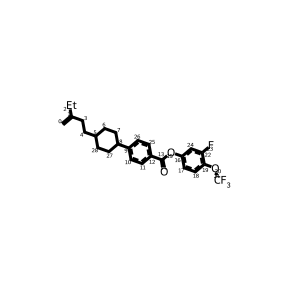 C=C(CC)CCC1CCC(c2ccc(C(=O)Oc3ccc(OC(F)(F)F)c(F)c3)cc2)CC1